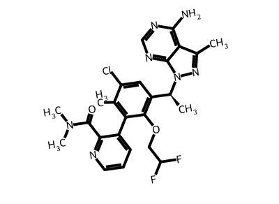 Cc1c(Cl)cc([C@H](C)n2nc(C)c3c(N)ncnc32)c(OCC(F)F)c1-c1cccnc1C(=O)N(C)C